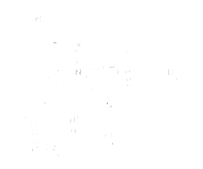 C=CC(=O)NC(c1ccccc1)[N+](C)(C)CCC.[Cl-]